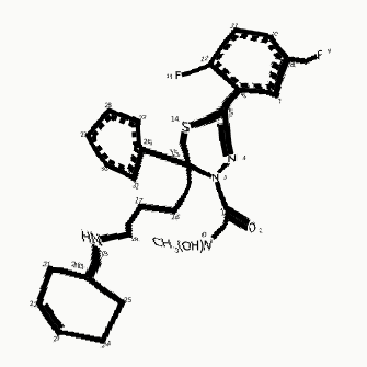 CN(O)C(=O)N1N=C(c2cc(F)ccc2F)SC1(CCCNC1CC=CCC1)c1ccccc1